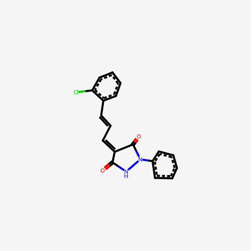 O=C1NN(c2ccccc2)C(=O)C1=CC=Cc1ccccc1Cl